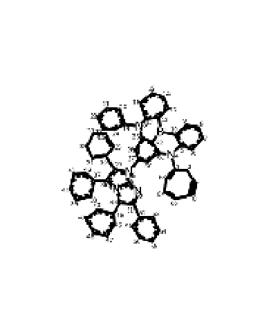 C1#CCC(N2c3ccccc3B3c4ccccc4N(c4ccccc4)c4cc(-n5c(C6=CCCC=C6)c(-c6ccccc6)n6c(-c7ccccc7)c(-c7ccccc7)nc56)cc2c43)=CC=C1